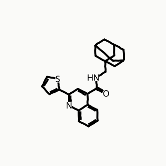 O=C(NCC12CC3CC(CC(C3)C1)C2)c1cc(-c2cccs2)nc2ccccc12